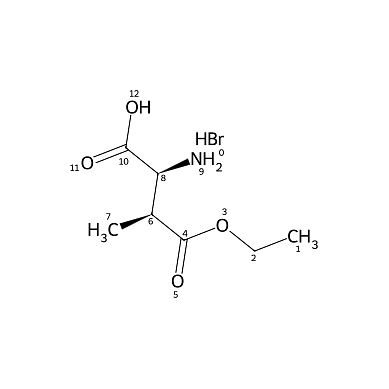 Br.CCOC(=O)[C@@H](C)[C@H](N)C(=O)O